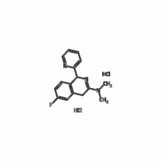 CN(C)C1=NC(c2ccccn2)c2ccc(F)cc2C1.Cl.Cl